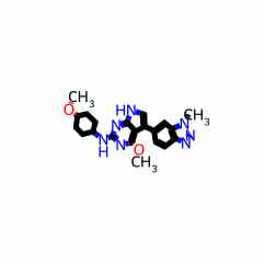 COc1nc(NC2CCC(OC)CC2)nc2[nH]cc(-c3ccc4nnn(C)c4c3)c12